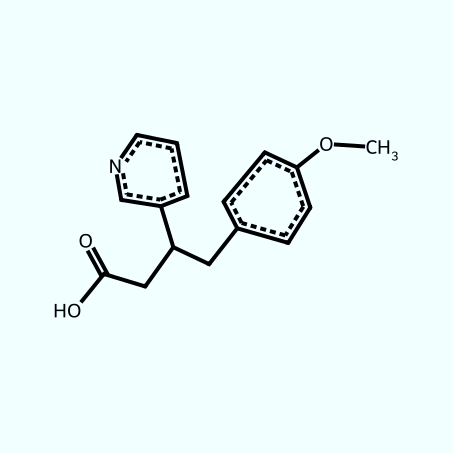 COc1ccc(CC(CC(=O)O)c2cccnc2)cc1